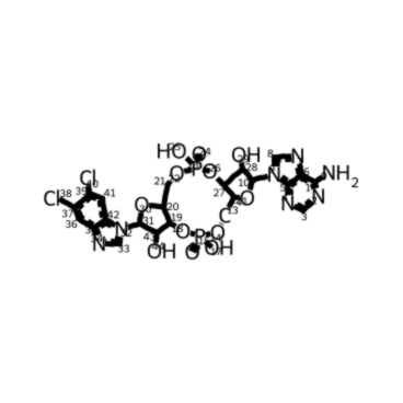 Nc1ncnc2c1ncn2C1OC2COP(=O)(O)OC3C(COP(=O)(O)OC2C1O)OC(n1cnc2cc(Cl)c(Cl)cc21)C3O